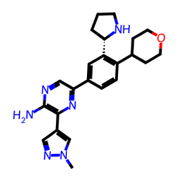 Cn1cc(-c2nc(-c3ccc(C4CCOCC4)c([C@@H]4CCCN4)c3)cnc2N)cn1